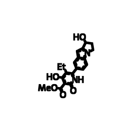 CCc1c(-c2ccc3c(c2)cc2n3CCC2O)[nH]c(=O)c(C(=O)OC)c1O